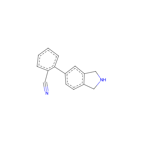 N#Cc1ccccc1-c1ccc2c(c1)CNC2